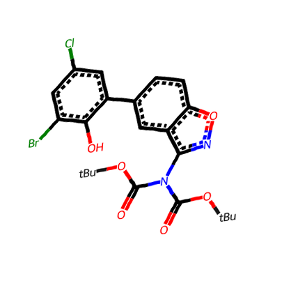 CC(C)(C)OC(=O)N(C(=O)OC(C)(C)C)c1noc2ccc(-c3cc(Cl)cc(Br)c3O)cc12